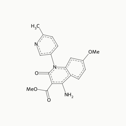 COC(=O)c1c(N)c2ccc(OC)cc2n(-c2ccc(C)nc2)c1=O